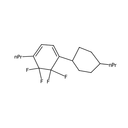 CCCC1=CC=C(C2CCC(CCC)CC2)C(F)(F)C1(F)F